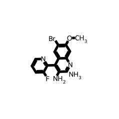 COc1cc2ncc(N)c(-c3ncccc3F)c2cc1Br.N